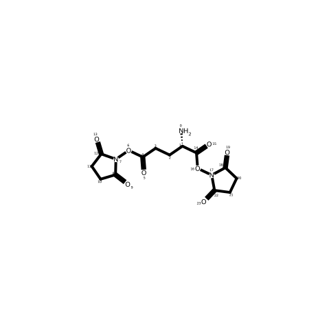 N[C@@H](CCC(=O)ON1C(=O)CCC1=O)C(=O)ON1C(=O)CCC1=O